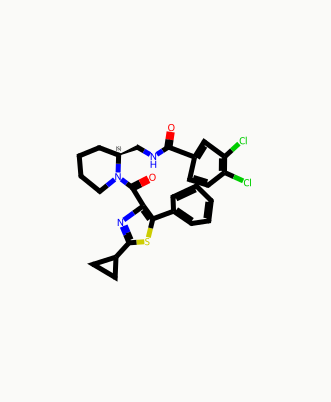 O=C(NC[C@@H]1CCCCN1C(=O)c1nc(C2CC2)sc1-c1ccccc1)c1ccc(Cl)c(Cl)c1